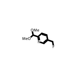 COC(OC)c1ccc(CF)cn1